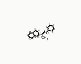 CC(=COc1ccccc1)c1ccc2ccccc2c1